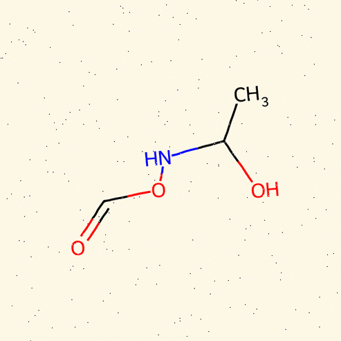 CC(O)NOC=O